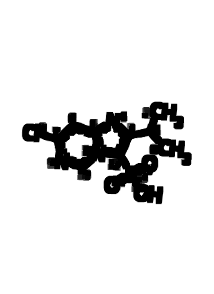 CC(C)c1nc2cc(Cl)ncn2c1S(=O)(=O)O